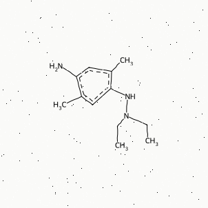 CCN(CC)Nc1cc(C)c(N)cc1C